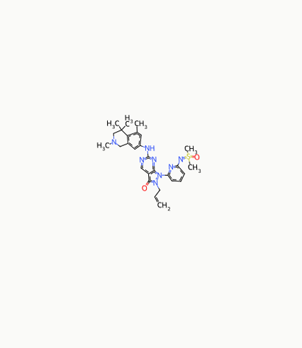 C=CCn1c(=O)c2cnc(Nc3cc(C)c4c(c3)CN(C)CC4(C)C)nc2n1-c1cccc(N=S(C)(C)=O)n1